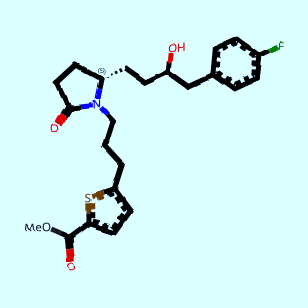 COC(=O)c1ccc(CCCN2C(=O)CC[C@@H]2CCC(O)Cc2ccc(F)cc2)s1